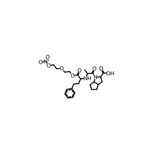 CC(NC(CCc1ccccc1)C(=O)OCCOCCO[N+](=O)[O-])C(=O)N1C(C(=O)O)CC2CCCC21